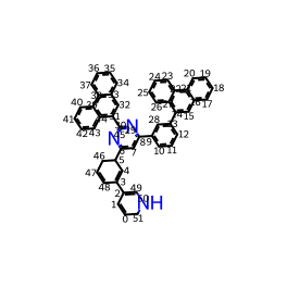 C1=CC(C2=CC(c3cc(-c4cccc(-c5cc6ccccc6c6ccccc56)c4)nc(-c4cc5ccccc5c5ccccc45)n3)CC=C2)=CNC1